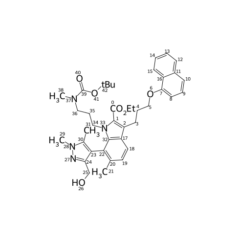 CCOC(=O)c1c(CCCOc2cccc3ccccc23)c2ccc(C)c(-c3c(CO)nn(C)c3C)c2n1CCCN(C)C(=O)OC(C)(C)C